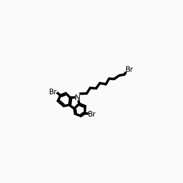 BrCCCCCCCCCCn1c2cc(Br)ccc2c2ccc(Br)cc21